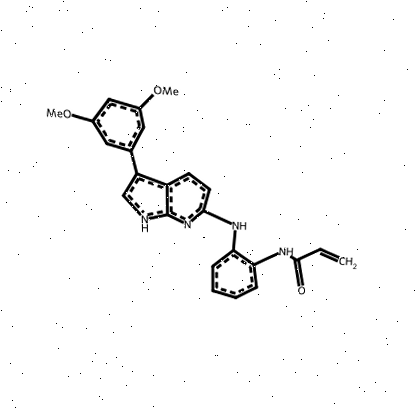 C=CC(=O)Nc1ccccc1Nc1ccc2c(-c3cc(OC)cc(OC)c3)c[nH]c2n1